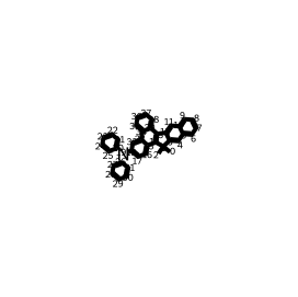 CC1(C)c2cc3ccccc3cc2-c2c1c1ccc(N(c3ccccc3)c3ccccc3)cc1c1ccccc21